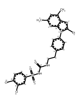 CCc1nc2c(C)cc(C)nc2n1-c1ccc(CCNC(=O)NS(=O)(=O)c2ccc(Cl)c(Cl)c2)cc1